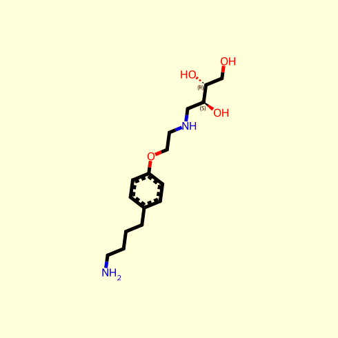 NCCCCc1ccc(OCCNC[C@H](O)[C@H](O)CO)cc1